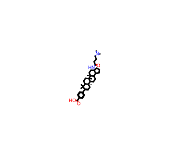 CN(C)CCCC(=O)N[C@]12CCCC1C1CCC3C(C)(CCC4C(C)(C)C(c5ccc(C(=O)O)cc5)=CC[C@@]43C)[C@]1(C)CC2